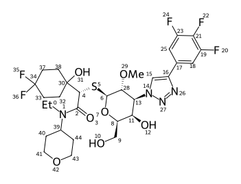 CCN(C(=O)[C@@H](S[C@@H]1O[C@H](CO)[C@H](O)[C@H](n2cc(-c3cc(F)c(F)c(F)c3)nn2)[C@H]1OC)C1(O)CCC(F)(F)CC1)C1CCOCC1